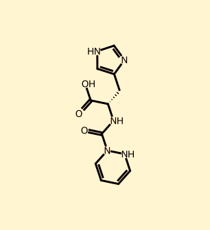 O=C(O)[C@H](Cc1c[nH]cn1)NC(=O)N1C=CC=CN1